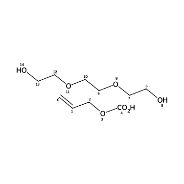 C=CCOC(=O)O.OCCOCCOCCO